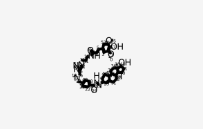 COc1cc(/C=C/C(=O)NCCCn2cc(CN(C)Cc3ccc(C(=O)N/N=C4/C=C5CC[C@@H]6C(CC[C@@]7(C)C6CC[C@@H]7O)[C@@]5(C)CC4)cc3)nn2)cc(OC)c1O